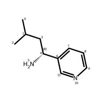 CC(C)C[C@@H](N)c1cccnc1